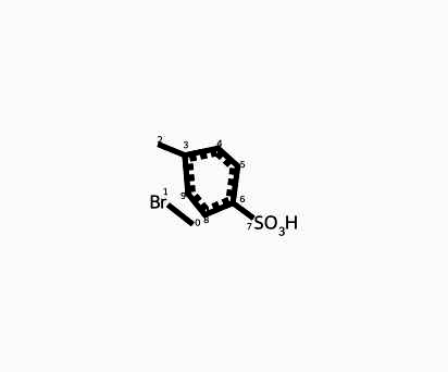 CBr.Cc1ccc(S(=O)(=O)O)cc1